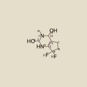 CN1C(O)NC2=C(CCC2(F)F)C1O